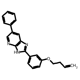 C=CCCOc1cccc(-c2nc3cc(-c4ccccc4)cnc3[nH]2)c1